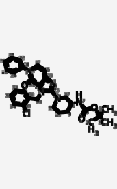 CC(C)(C)OC(=O)N[C@@H]1CCCN(c2nc3ccn(-c4ccccc4)c(=O)c3n2Cc2ccccc2Cl)C1